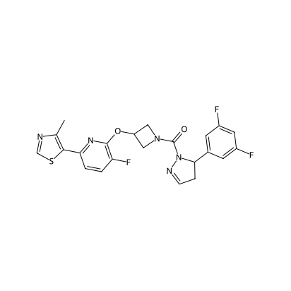 Cc1ncsc1-c1ccc(F)c(OC2CN(C(=O)N3N=CCC3c3cc(F)cc(F)c3)C2)n1